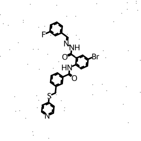 O=C(Nc1ccc(Br)cc1C(=O)N/N=C/c1cccc(F)c1)c1cccc(CSc2ccncc2)c1